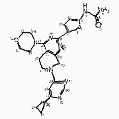 NC(=O)Nc1ccc(-c2nc3c(c(N4CCOCC4)n2)CCN(c2cc(C4CC4)ncn2)C3)cc1